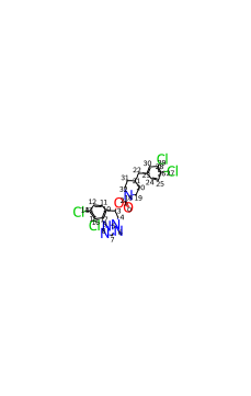 O=C(OC(Cn1ncnn1)c1ccc(Cl)c(Cl)c1)N1CCC(Cc2ccc(Cl)c(Cl)c2)CC1